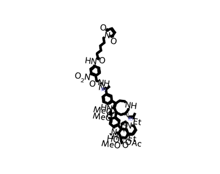 CC/C(C)=C/[C@H]1CNCCc2c([nH]c3ccc(/C(C)=N/NC(=O)c4ccc(NC(=O)CCCCCN5C(=O)C=CC5=O)cc4[N+](=O)[O-])cc23)[C@@](C(=O)OC)(c2cc3c(cc2OC)N(C)[C@H]2[C@@](O)(C(=O)OC)[C@H](OC(C)=O)[C@]4(CC)C=CCN5CC[C@]32[C@@H]54)C1